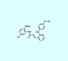 CCc1ccc(NC)c(NC(=O)/C=C/c2cccnc2Nc2ccc(OC(C)C)cc2)c1